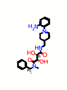 C[C@H](c1ccccc1)N(C)C(=O)[C@H](O)[C@@H](O)C(=O)NCC1CCN(c2ccccc2N)CC1